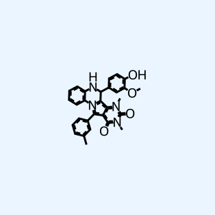 COc1cc(C2Nc3ccccc3-n3c(-c4cccc(C)c4)c4c(=O)n(C)c(=O)n(C)c4c32)ccc1O